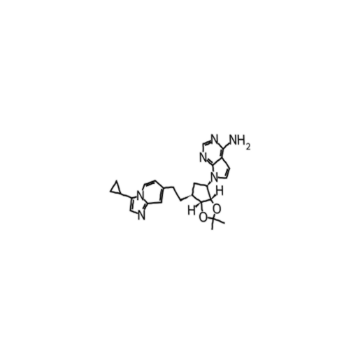 CC1(C)O[C@@H]2[C@@H](CCc3ccn4c(C5CC5)cnc4c3)C[C@@H](n3ccc4c(N)ncnc43)[C@@H]2O1